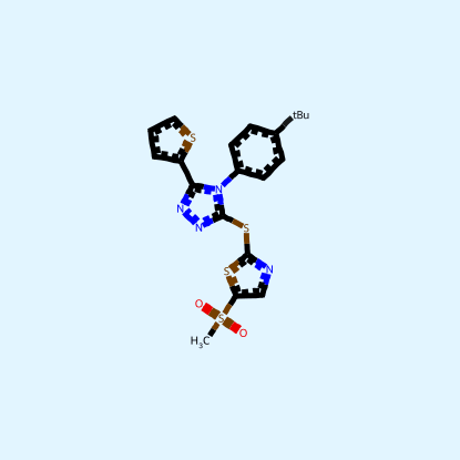 CC(C)(C)c1ccc(-n2c(Sc3ncc(S(C)(=O)=O)s3)nnc2-c2cccs2)cc1